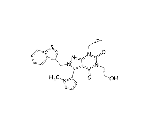 CC(C)Cn1c(=O)n(CCO)c(=O)c2c(-c3cccn3C)n(Cc3csc4ccccc34)nc21